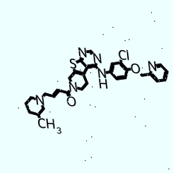 CC1CCCN(CC=CC(=O)N2CCc3c(sc4ncnc(Nc5ccc(OCc6ccccn6)c(Cl)c5)c34)C2)C1